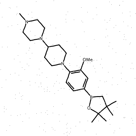 COc1cc(B2CC(C)(C)C(C)(C)O2)ccc1N1CCC(N2CCN(C)CC2)CC1